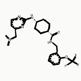 CN(C)Cc1ccnc(N[C@H]2CC[C@@H](C(=O)NCc3ccccc3OC(F)(F)F)CC2)n1